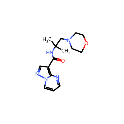 CC(C)(CN1CCOCC1)NC(=O)c1cnn2cccnc12